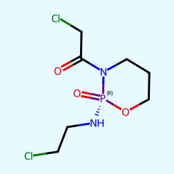 O=C(CCl)N1CCCO[P@]1(=O)NCCCl